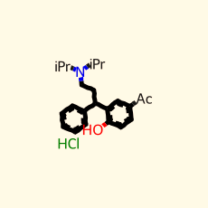 CC(=O)c1ccc(O)c(C(CCN(C(C)C)C(C)C)c2ccccc2)c1.Cl